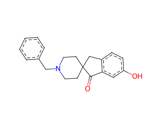 O=C1c2cc(O)ccc2CC12CCN(Cc1ccccc1)CC2